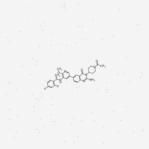 C=S(Nc1cc(-c2ccc3nc(N)n(C4CCN(C(C)=O)CC4)c(=O)c3c2)cnc1OC)c1ccc(F)cc1F